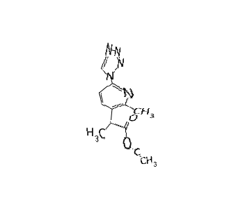 CCOC(=O)C(C)c1ccc(-n2cnnn2)nc1C